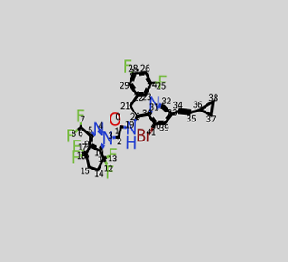 O=C(Cn1nc(C(F)F)c2c1C(F)(F)CCC2(F)F)N[C@@H](Cc1cc(F)cc(F)c1)c1ncc(C#CC2CC2)cc1Br